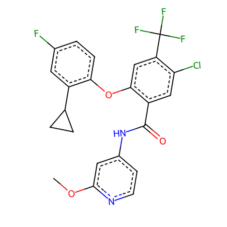 COc1cc(NC(=O)c2cc(Cl)c(C(F)(F)F)cc2Oc2ccc(F)cc2C2CC2)ccn1